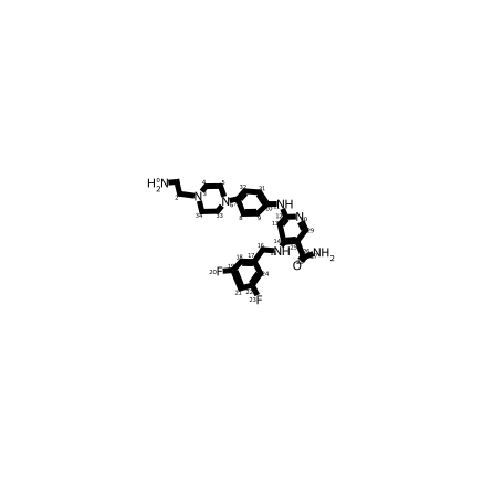 NCCN1CCN(c2ccc(Nc3cc(NCc4cc(F)cc(F)c4)c(C(N)=O)cn3)cc2)CC1